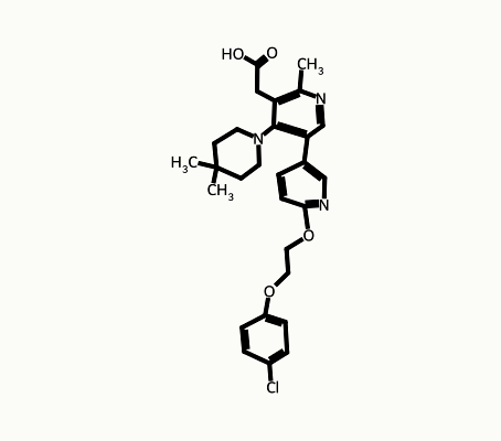 Cc1ncc(-c2ccc(OCCOc3ccc(Cl)cc3)nc2)c(N2CCC(C)(C)CC2)c1CC(=O)O